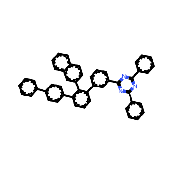 c1ccc(-c2ccc(-c3cccc(-c4cccc(-c5nc(-c6ccccc6)nc(-c6ccccc6)n5)c4)c3-c3ccc4ccccc4c3)cc2)cc1